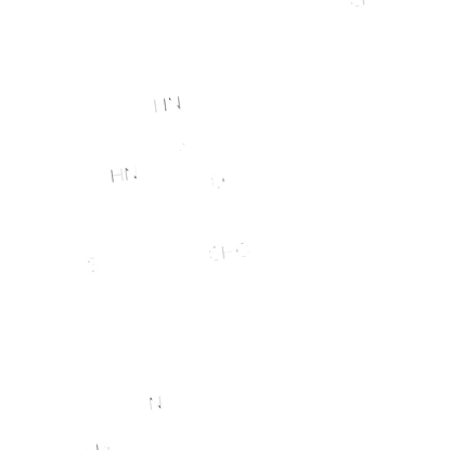 CCCC1Cc2sc(NC(=O)Nc3ccc(Cl)cc3)c(C=O)c2CN1C